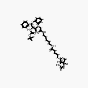 CC(C)(C)OC(=O)N[C@@H]1C(=O)N(CC(=O)NCCCCCNC(=O)CCCC[C@@H]2SC[C@@H]3NC(=O)N[C@@H]32)c2ccccc2O[C@@H]1c1ccccc1